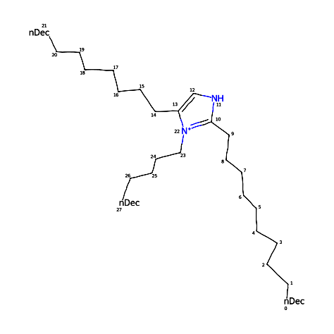 CCCCCCCCCCCCCCCCCCCc1[nH]cc(CCCCCCCCCCCCCCCCC)[n+]1CCCCCCCCCCCCCC